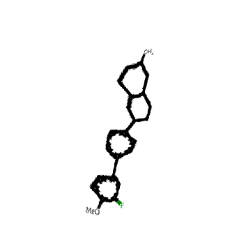 COc1ccc(-c2ccc(C3CCC4CC(C)CCC4C3)cc2)cc1F